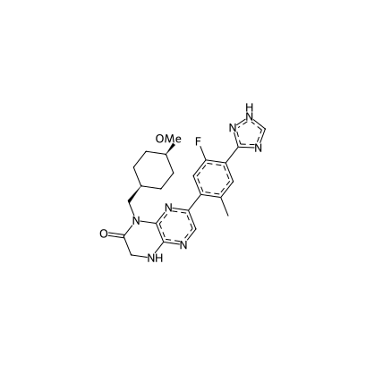 CO[C@H]1CC[C@@H](CN2C(=O)CNc3ncc(-c4cc(F)c(-c5nc[nH]n5)cc4C)nc32)CC1